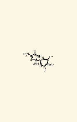 NC1=NC(N)(c2cc(F)c(Br)c(F)c2)NN1